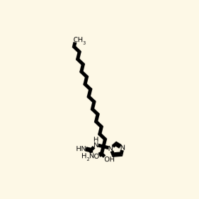 CCCCCCCCCCCCCCCCCC(NC(=N)N)(C(=O)O)n1ccnc1